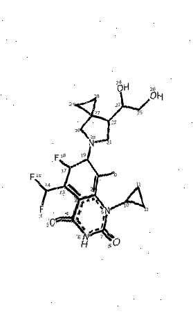 CC1=c2c(c(=O)[nH]c(=O)n2C2CC2)=C(C(F)F)C(F)C1N1CC(C(O)CO)C2(CC2)C1